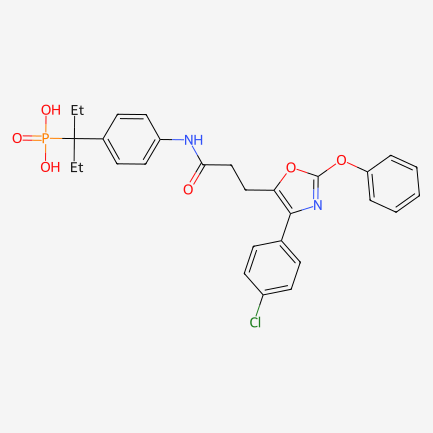 CCC(CC)(c1ccc(NC(=O)CCc2oc(Oc3ccccc3)nc2-c2ccc(Cl)cc2)cc1)P(=O)(O)O